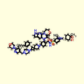 COc1cc(CN2CCN(C3CC4(CCN(c5ccc(C(=O)NS(=O)(=O)c6ccc(NC[C@H]7CC[C@](C)(O)CC7)c([N+](=O)[O-])c6)c(N6C[C@H]7COCCCN7c7nc8[nH]ccc8cc76)c5)CC4)C3)[C@H](c3ccccc3C)C2)cnc1N1CCOCC1